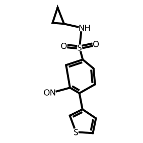 O=Nc1cc(S(=O)(=O)NC2CC2)ccc1-c1ccsc1